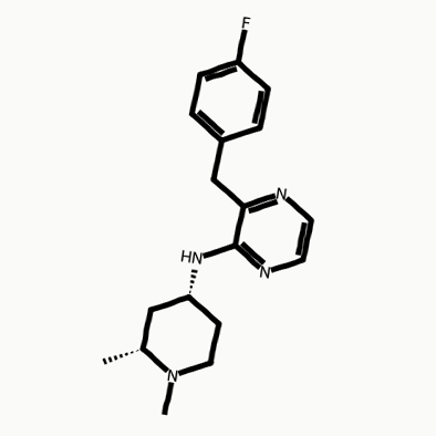 C[C@@H]1C[C@H](Nc2nccnc2Cc2ccc(F)cc2)CCN1C